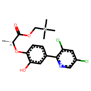 C[C@@H](Oc1ccc(-c2ncc(Cl)cc2Cl)cc1O)C(=O)OC[Si](C)(C)C